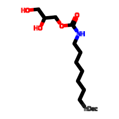 CCCCCCCCCCCCCCCCCNC(=O)OCC(O)CO